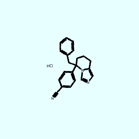 Cl.N#Cc1ccc(C2(Cc3ccccc3)CCCc3cncn32)cc1